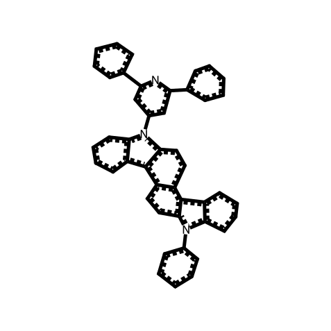 c1ccc(-c2cc(-n3c4ccccc4c4c5ccc6c(c5ccc43)c3ccccc3n6-c3ccccc3)cc(-c3ccccc3)n2)cc1